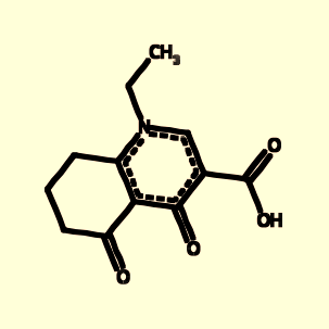 CCn1cc(C(=O)O)c(=O)c2c1CCCC2=O